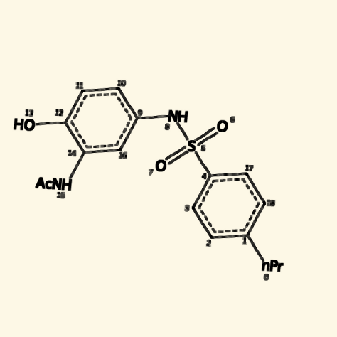 CCCc1ccc(S(=O)(=O)Nc2ccc(O)c(NC(C)=O)c2)cc1